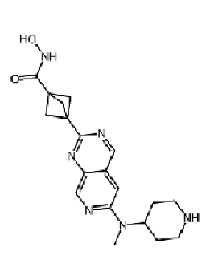 CN(c1cc2cnc(C34CC(C(=O)NO)(C3)C4)nc2cn1)C1CCNCC1